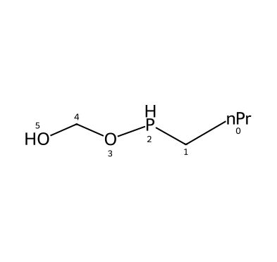 CCCCPOCO